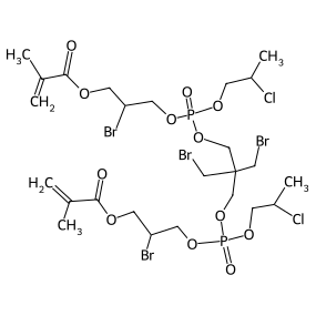 C=C(C)C(=O)OCC(Br)COP(=O)(OCC(C)Cl)OCC(CBr)(CBr)COP(=O)(OCC(C)Cl)OCC(Br)COC(=O)C(=C)C